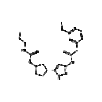 CCCNC(=O)OC1CCC(c2cc(NC(=O)Cc3ccnc(OC)c3)n[nH]2)C1